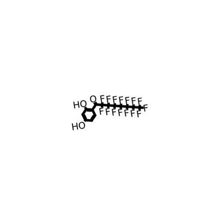 O=C(c1ccc(O)cc1O)C(F)(F)C(F)(F)C(F)(F)C(F)(F)C(F)(F)C(F)(F)C(F)(F)F